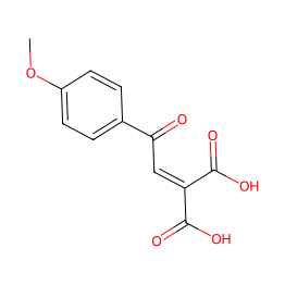 COc1ccc(C(=O)C=C(C(=O)O)C(=O)O)cc1